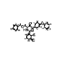 O=C(NC(COCc1ccccc1)C(=O)Nc1ccc(Oc2ccccc2)cc1)c1cccc(Cl)c1F